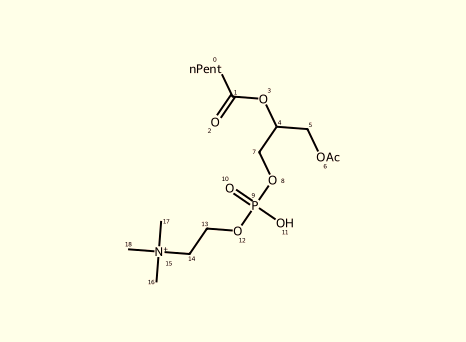 CCCCCC(=O)OC(COC(C)=O)COP(=O)(O)OCC[N+](C)(C)C